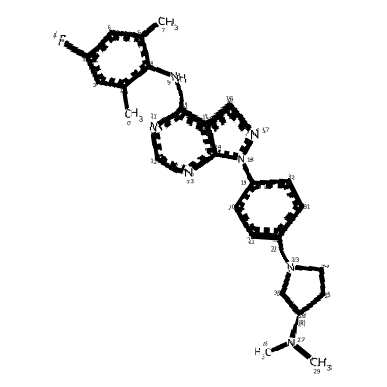 Cc1cc(F)cc(C)c1Nc1ncnc2c1cnn2-c1ccc(N2CC[C@@H](N(C)C)C2)cc1